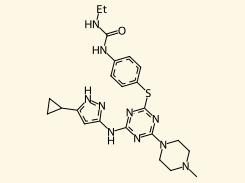 CCNC(=O)Nc1ccc(Sc2nc(Nc3cc(C4CC4)[nH]n3)nc(N3CCN(C)CC3)n2)cc1